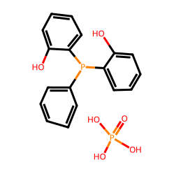 O=P(O)(O)O.Oc1ccccc1P(c1ccccc1)c1ccccc1O